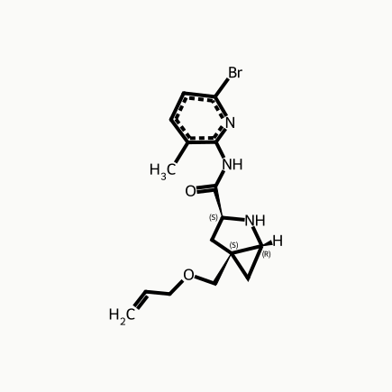 C=CCOC[C@@]12C[C@@H](C(=O)Nc3nc(Br)ccc3C)N[C@@H]1C2